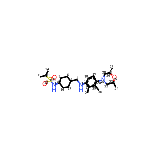 Cc1c(NCC2CCC(NS(=O)(=O)C(C)C)CC2)ccc(N2CC(C)O[C@H](C)C2)c1C